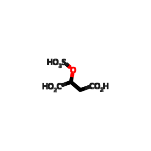 O=C(O)CC(OS(=O)(=O)O)C(=O)O